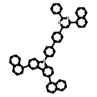 c1ccc(-c2nc(-c3ccc(-c4ccc(-n5c6ccc(-c7cccc8ccccc78)cc6c6cc(-c7cccc8ccccc78)ccc65)cc4)cc3)cc(-c3cccc4ccccc34)n2)cc1